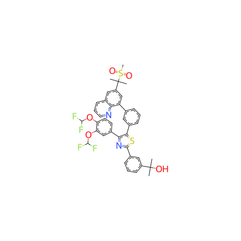 CC(C)(O)c1cccc(-c2nc(-c3ccc(OC(F)F)c(OC(F)F)c3)c(-c3cccc(-c4cc(C(C)(C)S(C)(=O)=O)cc5cccnc45)c3)s2)c1